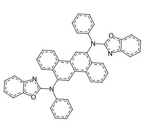 c1ccc(N(c2nc3ccccc3o2)c2cc3c4ccccc4c(N(c4ccccc4)c4nc5ccccc5o4)cc3c3ccccc23)cc1